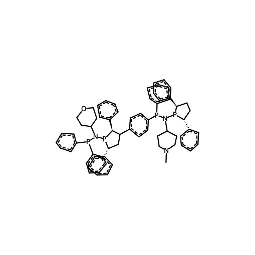 CN1CCC(N(P(c2ccccc2)c2ccc(C3C[C@H](c4ccccc4)P(N(C4CCOCC4)P(c4ccccc4)c4ccccc4)[C@H]3c3ccccc3)cc2)P2[C@@H](c3ccccc3)CC[C@@H]2c2ccccc2)CC1